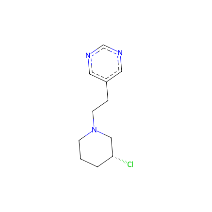 Cl[C@@H]1CCCN(CCc2cncnc2)C1